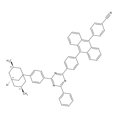 C[C@@H]1C[C@@H]2C[C@H](C)CC(c3ccc(-c4nc(-c5ccccc5)nc(-c5ccc(-c6c7ccccc7c(-c7ccc(C#N)cc7)c7ccccc67)cc5)n4)cc3)(C1)C2